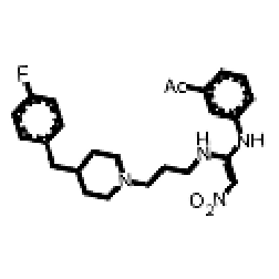 CC(=O)c1cccc(NC(=C[N+](=O)[O-])NCCCN2CCC(Cc3ccc(F)cc3)CC2)c1